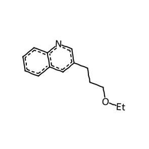 [CH2]COCCCc1cnc2ccccc2c1